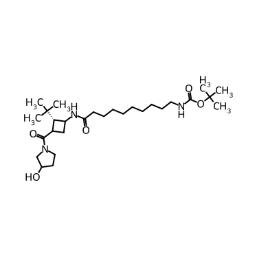 CC(C)(C)OC(=O)NCCCCCCCCCC(=O)NC1CC(C(=O)N2CCC(O)C2)[C@@H]1C(C)(C)C